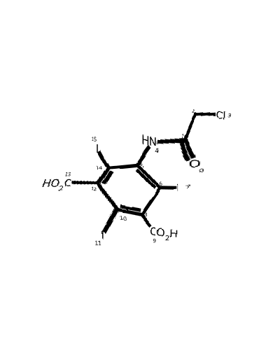 O=C(CCl)Nc1c(I)c(C(=O)O)c(I)c(C(=O)O)c1I